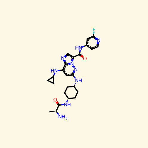 C[C@H](N)C(=O)N[C@H]1CC[C@H](Nc2cc(NC3CC3)c3ncc(C(=O)Nc4ccnc(F)c4)n3n2)CC1